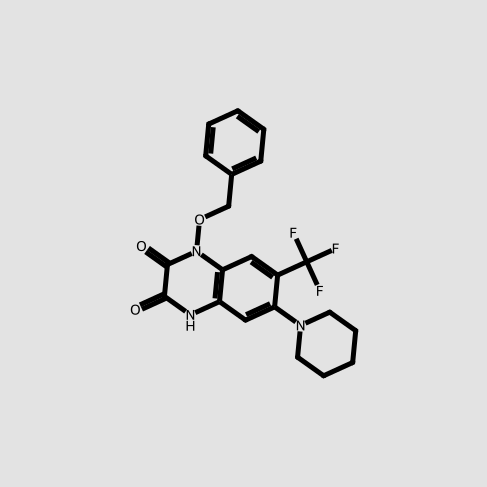 O=c1[nH]c2cc(N3CCCCC3)c(C(F)(F)F)cc2n(OCc2ccccc2)c1=O